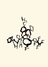 Cc1ccc(C[C@](NC(=O)NC2CC3CCC2C3)(c2cc(F)cc(OC(F)(F)C(F)F)c2)c2ccc(Cl)cn2)cc1